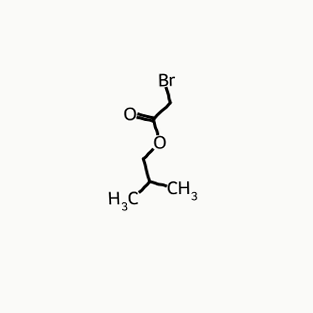 CC(C)COC(=O)CBr